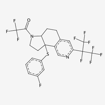 O=C(N1CCC2(Sc3cccc(F)c3)c3cnc(C(F)(C(F)(F)F)C(F)(F)F)cc3CCC12)C(F)(F)F